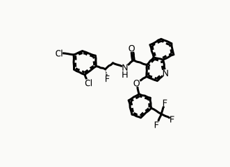 O=C(NC[C@H](F)c1ccc(Cl)cc1Cl)c1c(Oc2cccc(C(F)(F)F)c2)cnc2ccccc12